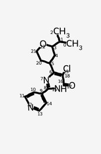 CC(C)C1CC(c2nc(-c3ccncc3)[nH]c(=O)c2Cl)CCO1